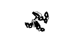 c1ccc2cc(-c3nc(-c4ccc5c(c4)sc4ccccc45)nc(-c4cccc5oc6cc(-c7cccc8sc9ccccc9c78)ccc6c45)n3)ccc2c1